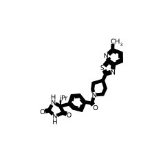 Cc1ccc2nc(C3CCN(C(=O)c4ccc([C@@]5(C(C)C)NC(=O)NC5=O)cc4)CC3)sc2n1